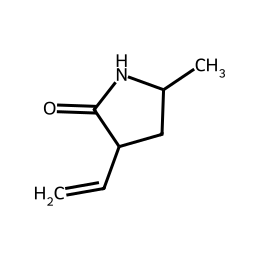 C=CC1CC(C)NC1=O